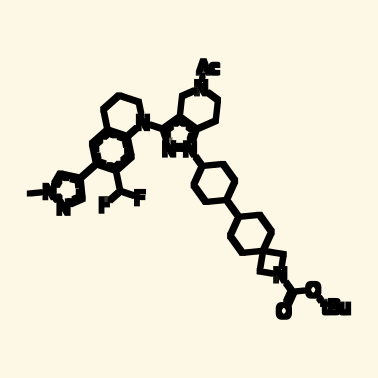 CC(=O)N1CCc2c(c(N3CCCc4cc(-c5cnn(C)c5)c(C(F)F)cc43)nn2C2CCC(C3CCC4(CC3)CN(C(=O)OC(C)(C)C)C4)CC2)C1